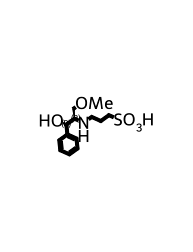 COC[C@@H](NCCCS(=O)(=O)O)[C@H](O)c1ccccc1